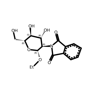 CCO[C@@H]1O[C@H](CO)[C@@H](O)[C@H](O)[C@H]1N1C(=O)c2ccccc2C1=O